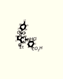 CCOc1nc(Nc2ccc(C(=O)O)cc2Cl)nc2c1ccn2S(=O)(=O)c1ccc(C)cc1